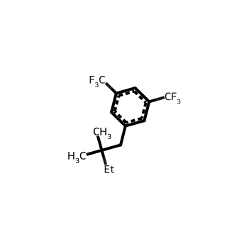 CCC(C)(C)Cc1cc(C(F)(F)F)cc(C(F)(F)F)c1